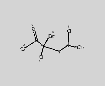 O=C(Cl)C(Cl)(Br)CC(Cl)Cl